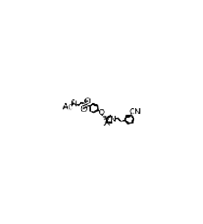 CC(=O)N(C)CCS(=O)(=O)c1ccc(OC[C@@H]2CN(CCc3cccc(C#N)c3)C[C@H]2C)cc1